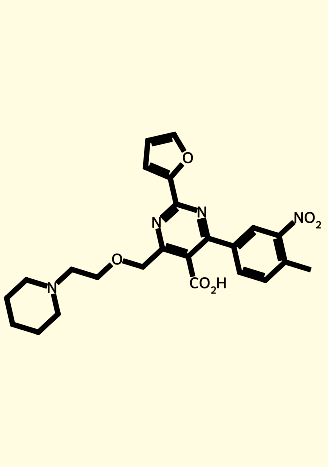 Cc1ccc(-c2nc(-c3ccco3)nc(COCCN3CCCCC3)c2C(=O)O)cc1[N+](=O)[O-]